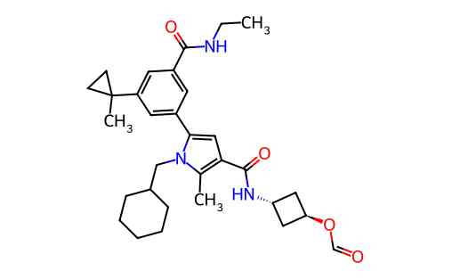 CCNC(=O)c1cc(-c2cc(C(=O)N[C@H]3C[C@H](OC=O)C3)c(C)n2CC2CCCCC2)cc(C2(C)CC2)c1